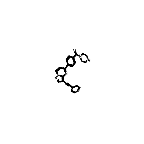 O=C(c1ccc(-c2ccn3ncc(C#Cc4ccncc4)c3n2)cc1)N1CCNCC1